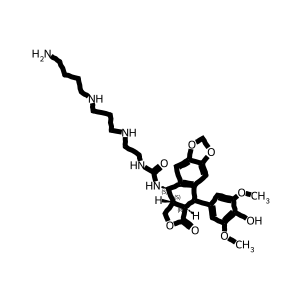 COc1cc(C2c3cc4c(cc3[C@@H](NC(=O)NCCNCCCNCCCCN)[C@H]3COC(=O)[C@H]23)OCO4)cc(OC)c1O